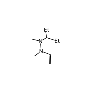 C=CN(C)N(C)C(CC)CC